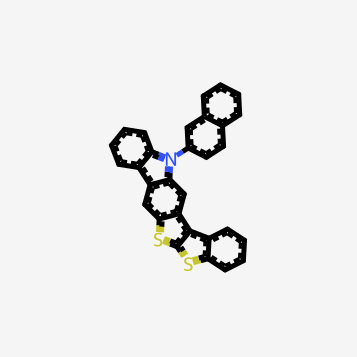 c1ccc2cc(-n3c4ccccc4c4cc5sc6sc7ccccc7c6c5cc43)ccc2c1